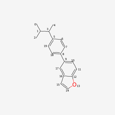 CC(C)C(C)c1ccc(-c2ccc3occc3c2)cc1